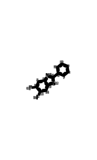 Fc1cc2nc(-c3ccccc3)sc2cc1F